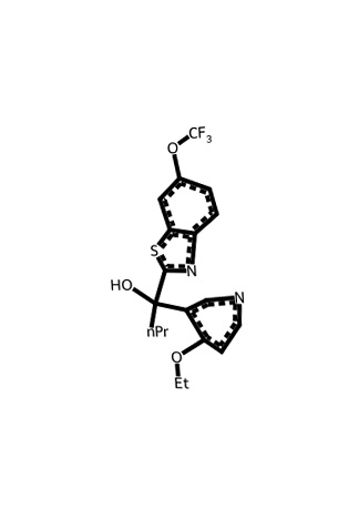 CCCC(O)(c1nc2ccc(OC(F)(F)F)cc2s1)c1cnccc1OCC